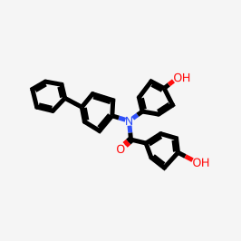 O=C(c1ccc(O)cc1)N(c1ccc(O)cc1)c1ccc(-c2ccccc2)cc1